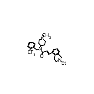 CCN1CCc2c(C=CC(=O)N(Cc3ccccc3C(F)(F)F)C3CCN(C)CC3)cccc2C1